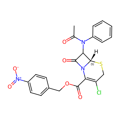 CC(=O)N(c1ccccc1)C1C(=O)N2C(C(=O)OCc3ccc([N+](=O)[O-])cc3)=C(Cl)CS[C@@H]12